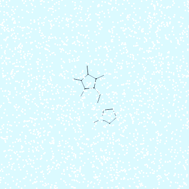 CC1C(C)C(C)C(CC[C@@H]2CCCN2C)C1C